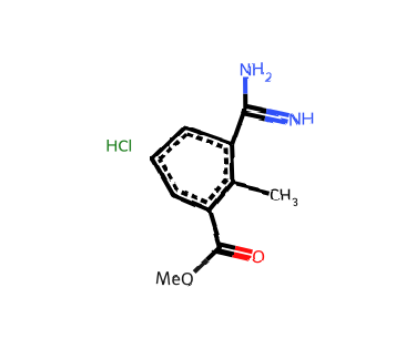 COC(=O)c1cccc(C(=N)N)c1C.Cl